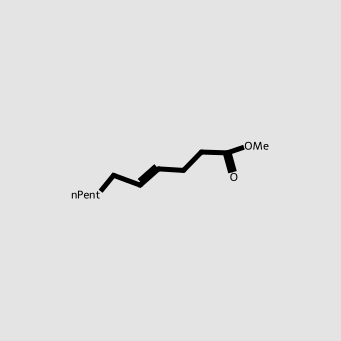 CCCCCCC=CCCC(=O)OC